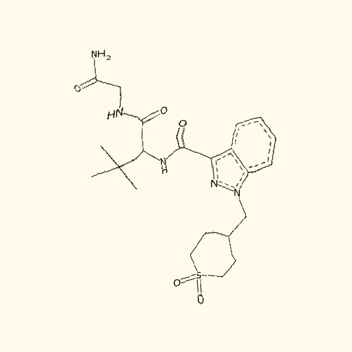 CC(C)(C)C(NC(=O)c1nn(CC2CCS(=O)(=O)CC2)c2ccccc12)C(=O)NCC(N)=O